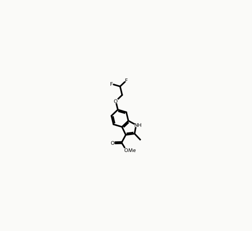 COC(=O)c1c(C)[nH]c2cc(OCC(F)F)ccc12